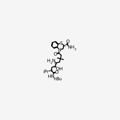 CCCCNC(=O)[C@H](C[C@H](O)[C@@H](N)CC(C)(C)CC(=O)N1C[C@H](C(N)=O)Sc2ccccc21)C(C)C